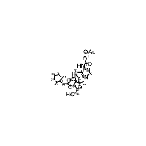 CC(=O)OCOC(=O)Nc1ncnn2c([C@]3(C)O[C@H](CO)[C@@H](OC(=O)CC4CCCCC4)[C@H]3O)ccc12